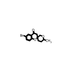 CC1CCC2(CO1)CC(=O)c1cc(Br)ccc1O2